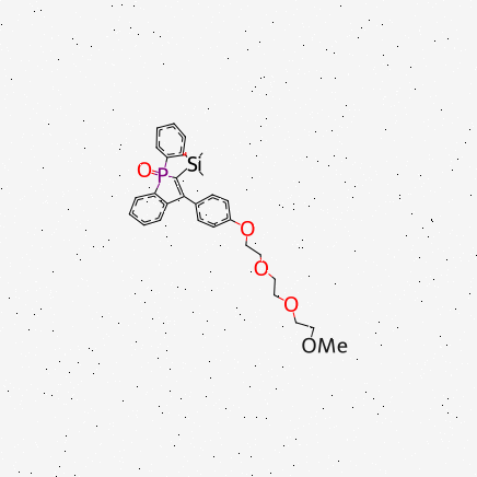 COCCOCCOCCOc1ccc(C2=C([Si](C)(C)C)P(=O)(c3ccccc3)c3ccccc32)cc1